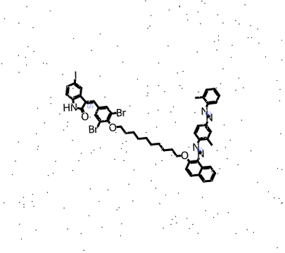 Cc1ccccc1/N=N/c1ccc(/N=N/c2c(OCCCCCCCCCCOc3c(Br)cc(/C=C4\C(=O)Nc5ccc(I)cc54)cc3Br)ccc3ccccc23)c(C)c1